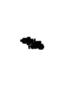 COc1ccccc1NC(=O)N(S)CCNS(=O)(=O)c1ccc(C)cc1